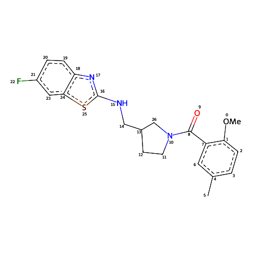 COc1ccc(C)cc1C(=O)N1CCC(CNc2nc3ccc(F)cc3s2)C1